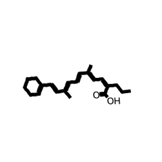 CCCC(=CC=C(C)C=CC=C(C)C=CC1=CCCCC1)C(=O)O